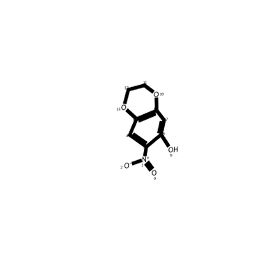 O=[N+]([O-])c1cc2c(cc1O)OCCO2